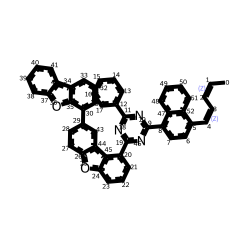 C/C=C\C=C/c1ccc(-c2nc(-c3ccccc3)nc(-c3cccc4oc5ccc(-c6cccc7c6oc6ccccc67)cc5c34)n2)c2ccccc12